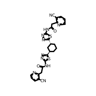 N#Cc1cccnc1CC(=O)Nc1nnc([C@@H]2CCC[C@@H](c3nnc(NC(=O)Cc4ncccc4C#N)s3)C2)s1